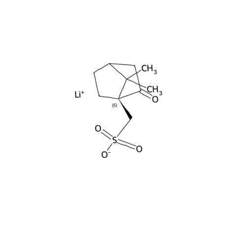 CC1(C)C2CC[C@@]1(CS(=O)(=O)[O-])C(=O)C2.[Li+]